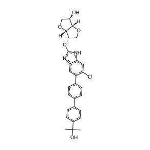 CC(C)(O)c1ccc(-c2ccc(-c3cc4nc(O[C@H]5CO[C@@H]6[C@H]5OC[C@H]6O)[nH]c4cc3Cl)cc2)cc1